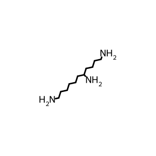 NCCCCCCC(N)CCCCN